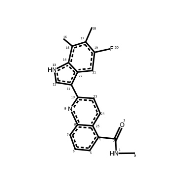 CNC(=O)c1cccc2nc(-c3c[nH]c4c(C)c(C)c(F)cc34)ccc12